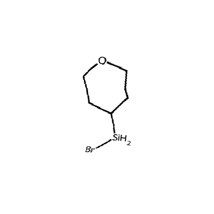 Br[SiH2]C1CCOCC1